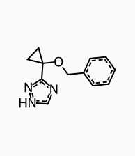 c1ccc(COC2(c3nc[nH]n3)CC2)cc1